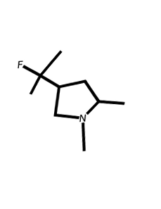 CC1CC(C(C)(C)F)CN1C